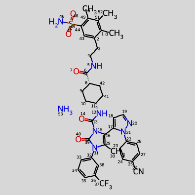 Cc1c(CCNC(=O)[C@H]2CC[C@@H](NC(=O)n3c(-c4ccnn4-c4ccc(C#N)cc4)c(C)n(-c4cccc(C(F)(F)F)c4)c3=O)CC2)cc(S(N)(=O)=O)c(C)c1C.N